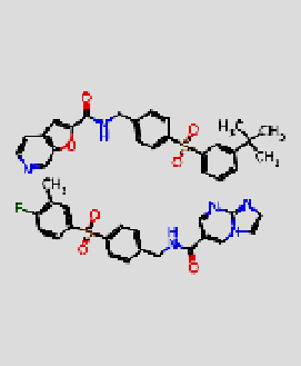 CC(C)(C)c1cccc(S(=O)(=O)c2ccc(CNC(=O)c3cc4ccncc4o3)cc2)c1.Cc1cc(S(=O)(=O)c2ccc(CNC(=O)c3cnc4nccn4c3)cc2)ccc1F